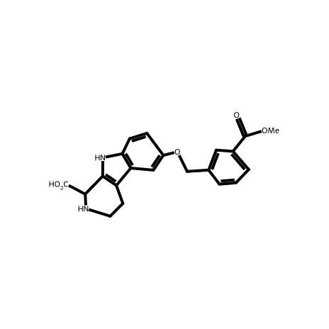 COC(=O)c1cccc(COc2ccc3[nH]c4c(c3c2)CCNC4C(=O)O)c1